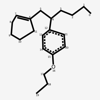 CCCCC(CC1=CCCCC1)c1ccc(OCCC)cc1